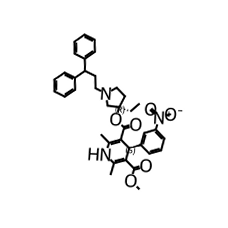 CC[C@@]1(OC(=O)C2=C(C)NC(C)=C(C(=O)OC)[C@@H]2c2cccc([N+](=O)[O-])c2)CCN(CCC(c2ccccc2)c2ccccc2)C1